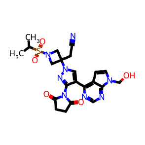 CC(C)S(=O)(=O)N1CC(CC#N)(n2cc(-c3ncnc4c3ccn4CO)c(N3C(=O)CCC3=O)n2)C1